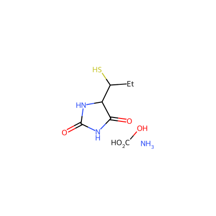 CCC(S)C1NC(=O)NC1=O.N.O=C(O)O